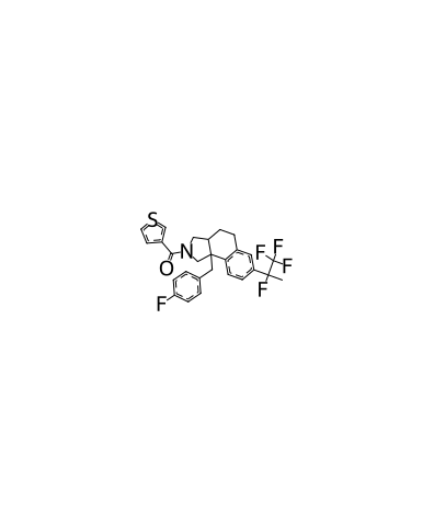 CC(F)(c1ccc2c(c1)CCC1CN(C(=O)c3ccsc3)CC21Cc1ccc(F)cc1)C(F)(F)F